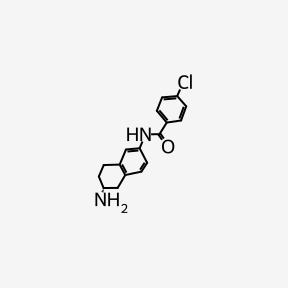 N[C@@H]1CCc2cc(NC(=O)c3ccc(Cl)cc3)ccc2C1